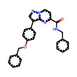 O=C(NCc1ccccc1)c1ccn2ncc(-c3ccc(OCc4ccccc4)cc3)c2n1